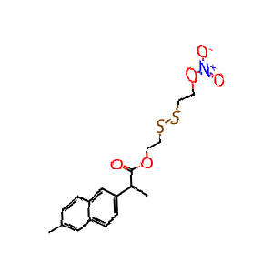 Cc1ccc2cc(C(C)C(=O)OCCSSCCO[N+](=O)[O-])ccc2c1